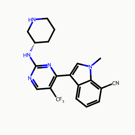 Cn1cc(-c2nc(N[C@H]3CCCNC3)ncc2C(F)(F)F)c2cccc(C#N)c21